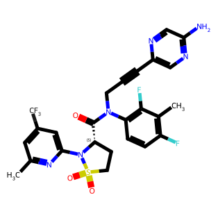 Cc1cc(C(F)(F)F)cc(N2[C@H](C(=O)N(CC#Cc3cnc(N)cn3)c3ccc(F)c(C)c3F)CCS2(=O)=O)n1